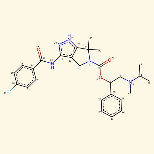 CC(C)N(C)CC(OC(=O)N1Cc2c(NC(=O)c3ccc(F)cc3)n[nH]c2C1(C)C)c1ccccc1